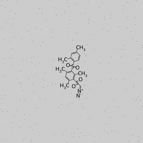 Cc1ccc(S(=O)(=O)c2c(C)cc(C)c(S(=O)(=O)C=[N+]=[N-])c2C)c(C)c1